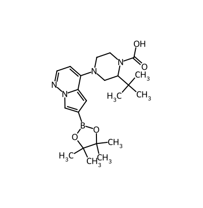 CC(C)(C)C1CN(c2ccnn3cc(B4OC(C)(C)C(C)(C)O4)cc23)CCN1C(=O)O